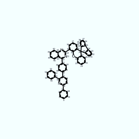 c1ccc(-c2ccc(-c3ccc(-c4nc(-c5cccc6c5Oc5ccccc5C65c6ccccc6-c6ccccc65)nc5ccccc45)cc3)c(-c3ccccc3)n2)cc1